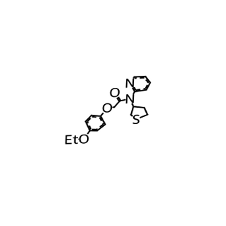 CCOc1ccc(OCC(=O)N(c2ccccn2)C2CCSC2)cc1